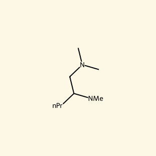 CCCC(CN(C)C)NC